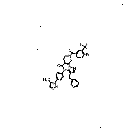 Cc1cnnn1-c1ccc(-n2c(=O)c3c(n4ncc(Cc5ccccc5)c24)CN(C(=O)c2ccc(Br)c(C(F)(F)F)c2)CC3)cc1